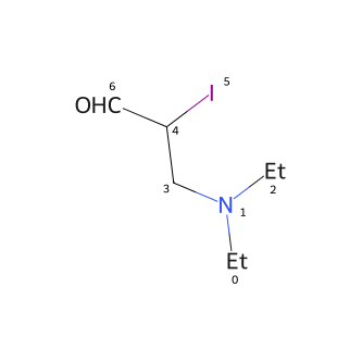 CCN(CC)CC(I)C=O